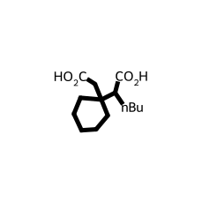 CCCCC(C(=O)O)C1(CC(=O)O)CCCCC1